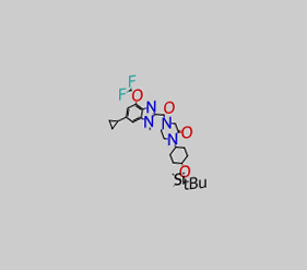 Cn1c(C(=O)N2CCN(C3CCC(O[Si](C)(C)C(C)(C)C)CC3)C(=O)C2)nc2c(OC(F)F)cc(C3CC3)cc21